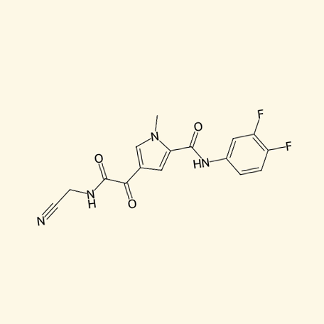 Cn1cc(C(=O)C(=O)NCC#N)cc1C(=O)Nc1ccc(F)c(F)c1